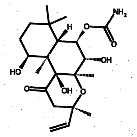 C=C[C@@]1(C)CC(=O)[C@]2(O)[C@@]3(C)[C@@H](O)CCC(C)(C)[C@@H]3[C@H](OC(N)=O)[C@H](O)[C@@]2(C)O1